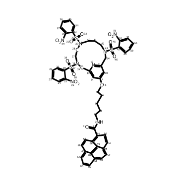 O=C(NCCCCCOc1cc2nc(c1)CN(S(=O)(=O)c1ccccc1[N+](=O)[O-])CCN(S(=O)(=O)c1ccccc1[N+](=O)[O-])CCCN(S(=O)(=O)c1ccccc1[N+](=O)[O-])C2)c1ccc2ccc3cccc4ccc1c2c34